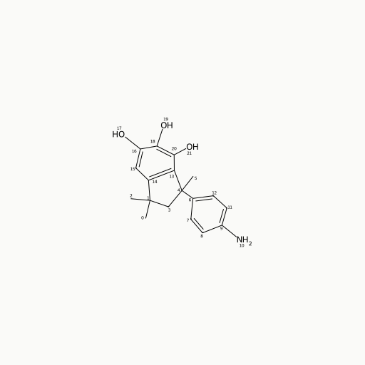 CC1(C)CC(C)(c2ccc(N)cc2)c2c1cc(O)c(O)c2O